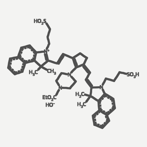 CCOC(=O)N1CCN(C2=C(/C=C/C3=[N+](CCCS(=O)(=O)O)c4ccc5ccccc5c4C3(C)C)CC/C2=C/C=C2\N(CCCS(=O)(=O)O)c3ccc4ccccc4c3C2(C)C)CC1.[OH-]